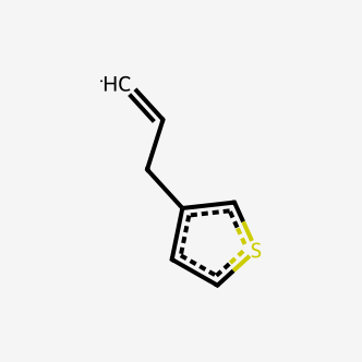 [CH]=CCc1ccsc1